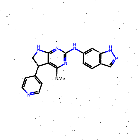 CNc1nc(Nc2ccc3cn[nH]c3c2)nc2c1C(c1ccncc1)CN2